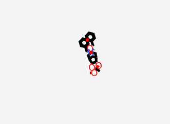 COC1(C)OC2C3CC(OCc4ccccc4)CC(C2O1)C3N(C)Cc1ccccc1